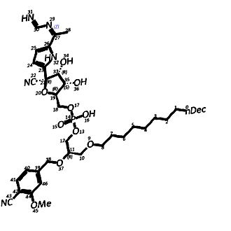 CCCCCCCCCCCCCCCCCCOC[C@H](COP(=O)(O)OC[C@H]1O[C@@](C#N)(c2ccc(/C(C)=N\C=N)[nH]2)[C@H](O)[C@@H]1O)OCc1ccc(C#N)c(OC)c1